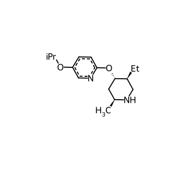 CC[C@H]1CN[C@@H](C)C[C@@H]1Oc1ccc(OC(C)C)cn1